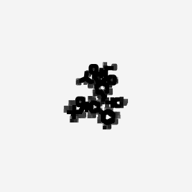 CCN1C(=O)N(CC(C)C)C2(CCN(C[C@H]3CN(C(=O)CC(C)(C)C)C[C@@H]3c3ccccc3)CC2)C1=O.Cl